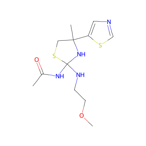 COCCNC1(NC(C)=O)NC(C)(c2cncs2)CS1